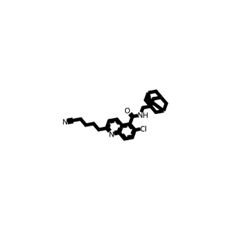 N#CCCCCc1ccc2c(C(=O)NCC34CC5CC(CC(C5)C3)C4)c(Cl)ccc2n1